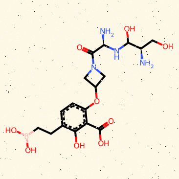 N[C@H](CO)C(O)N[C@H](N)C(=O)N1CC(Oc2ccc(CCB(O)O)c(O)c2C(=O)O)C1